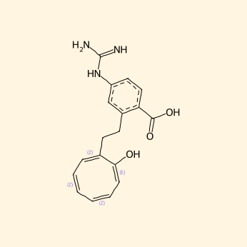 N=C(N)Nc1ccc(C(=O)O)c(CCC2=C/C=C\C=C/C=C\2O)c1